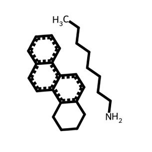 CCCCCCCCN.c1ccc2c(c1)ccc1c3c(ccc12)CCCC3